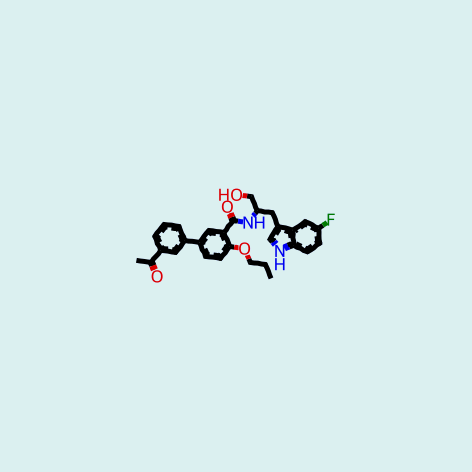 CCCOc1ccc(-c2cccc(C(C)=O)c2)cc1C(=O)NC(CO)Cc1c[nH]c2ccc(F)cc12